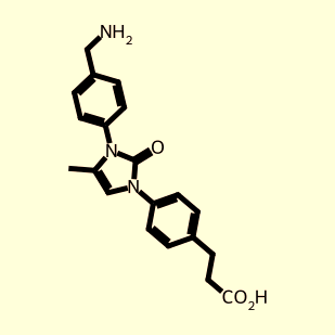 Cc1cn(-c2ccc(CCC(=O)O)cc2)c(=O)n1-c1ccc(CN)cc1